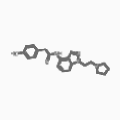 O=C(Cc1ccc(O)cc1)Nc1cccc2c1cnn2CCN1CCCC1